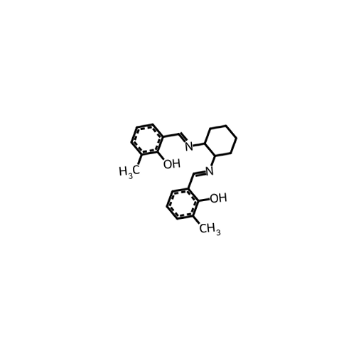 Cc1cccc(C=NC2CCCCC2N=Cc2cccc(C)c2O)c1O